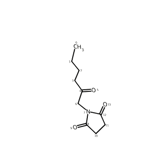 CCCCC(=O)CN1C(=O)CCC1=O